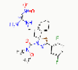 CON(C)C(=O)N1N=C(c2cc(F)ccc2F)SC1(CCCN/C(N)=C\[N+](=O)[O-])c1ccccc1